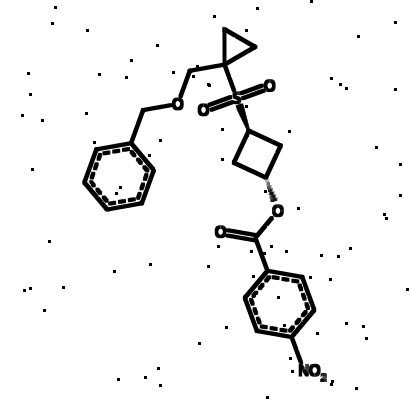 O=C(O[C@H]1C[C@H](S(=O)(=O)C2(COCc3ccccc3)CC2)C1)c1ccc([N+](=O)[O-])cc1